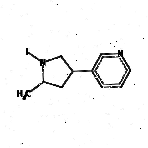 CC1CC(c2cccnc2)CN1I